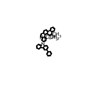 CC1(C)c2ccccc2-c2ccc3ccc4cc(-n5c6ccccc6c6cc(-c7ccccc7)ccc65)ccc4c3c2C1(C)C